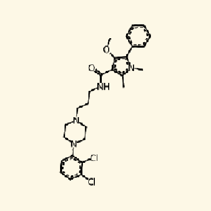 COc1c(C(=O)NCCCN2CCN(c3cccc(Cl)c3Cl)CC2)c(C)n(C)c1-c1ccccc1